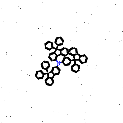 c1ccc(C2(c3ccc(N(c4ccc5c(c4)C(c4ccccc4)(c4ccccc4)c4ccccc4-5)c4cccc5c4-c4ccccc4C5(c4ccccc4)c4ccccc4)cc3)c3ccccc3-c3ccccc32)cc1